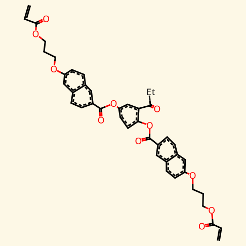 C=CC(=O)OCCCOc1ccc2cc(C(=O)Oc3ccc(OC(=O)c4ccc5cc(OCCCOC(=O)C=C)ccc5c4)c(C(=O)CC)c3)ccc2c1